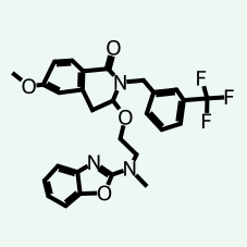 COc1ccc2c(c1)CC(OCCN(C)c1nc3ccccc3o1)N(Cc1cccc(C(F)(F)F)c1)C2=O